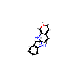 C1=CC2(Cc3ccccc3N2)NC2=COCC=C12